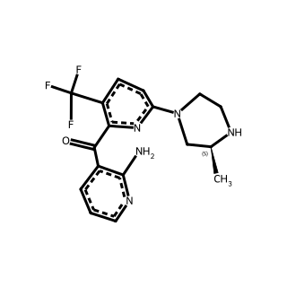 C[C@H]1CN(c2ccc(C(F)(F)F)c(C(=O)c3cccnc3N)n2)CCN1